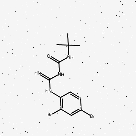 CC(C)(C)NC(=O)NC(=N)Nc1ccc(Br)cc1Br